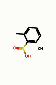 Cc1ccccc1S(=O)O.[KH]